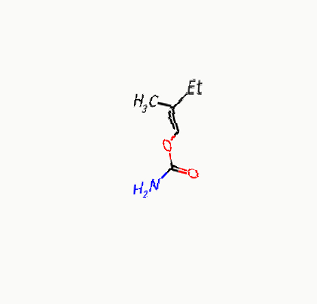 CCC(C)=COC(N)=O